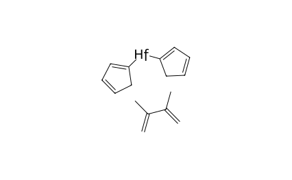 C1=CC[C]([Hf][C]2=CC=CC2)=C1.C=C(C)C(=C)C